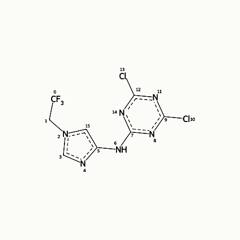 FC(F)(F)Cn1cnc(Nc2nc(Cl)nc(Cl)n2)c1